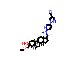 CCOC[C@@]1(O)CC[C@@]2(C)[C@H](CC[C@H]3C4CCC([C@@H](C)Nc5ccc(-n6cc(C#N)cn6)cn5)[C@@]4(C)CC[C@@H]32)C1